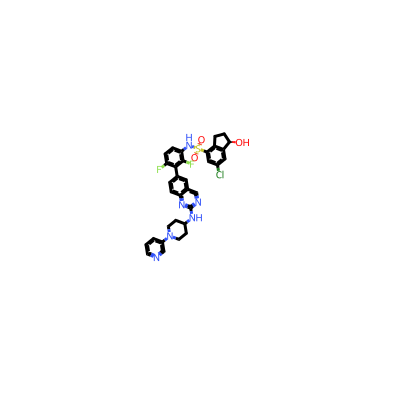 O=S(=O)(Nc1ccc(F)c(-c2ccc3nc(NC4CCN(c5cccnc5)CC4)ncc3c2)c1F)c1cc(Cl)cc2c1CC[C@H]2O